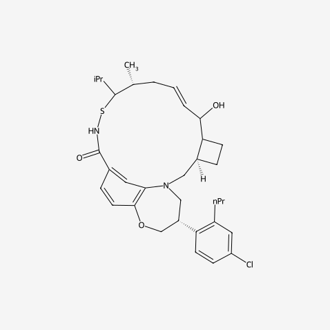 CCCc1cc(Cl)ccc1[C@@H]1COc2ccc3cc2N(C1)C[C@@H]1CCC1C(O)/C=C/C[C@@H](C)C(C(C)C)SNC3=O